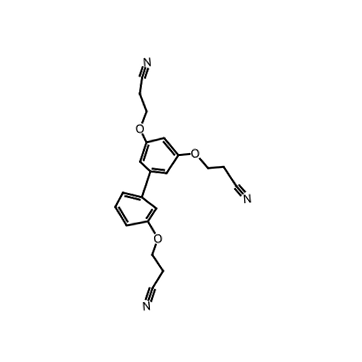 N#CCCOc1cccc(-c2cc(OCCC#N)cc(OCCC#N)c2)c1